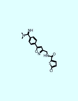 CN(C)C(=N)c1ccc(-c2cc(CNC(=O)c3ccc(Cl)s3)no2)cc1